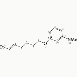 CCC=CCCCCOc1cccc(NC)c1